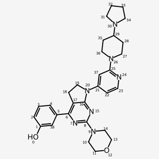 Oc1cccc(-c2nc(N3CCOCC3)nc3c2CCN3c2ccnc(N3CCC(N4CCCC4)CC3)c2)c1